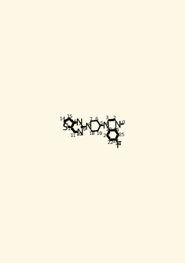 CN1C=CN(C2CCN(c3ncc4sccc4n3)CC2)c2ccc(F)cc21